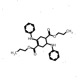 CCCOC(=O)C1=C(Nc2ccccc2)CC(C(=O)OCCC)C(Nc2ccccc2)C1